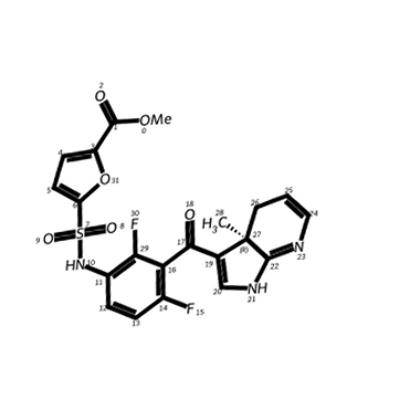 COC(=O)c1ccc(S(=O)(=O)Nc2ccc(F)c(C(=O)C3=CNC4=NC=CC[C@]34C)c2F)o1